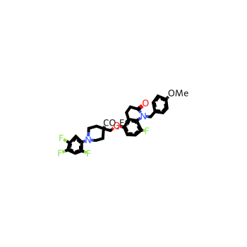 CCOC(=O)C1(COc2ccc(F)c3c2CCC(=O)N3Cc2ccc(OC)cc2)CCN(c2cc(F)c(F)cc2F)CC1